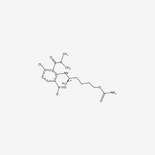 C[C@H](CCCCOC(N)=O)Nc1c([N+](=O)[O-])ccc(Cl)c1C(=O)N(C)C